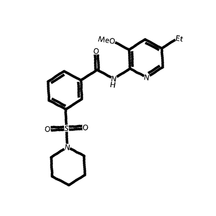 CCc1cnc(NC(=O)c2cccc(S(=O)(=O)N3CCCCC3)c2)c(OC)c1